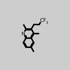 Cc1ccc2nc(C)c(CCC(F)(F)F)c(C)c2c1